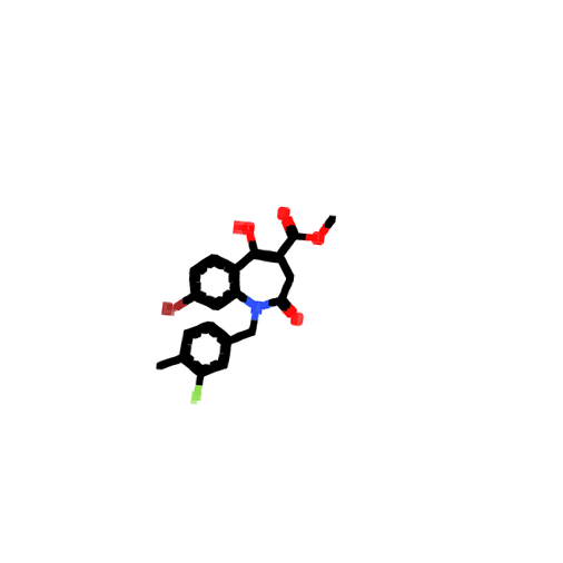 COC(=O)C1=C(O)c2ccc(Br)cc2N(Cc2ccc(C)c(F)c2)C(=O)C1